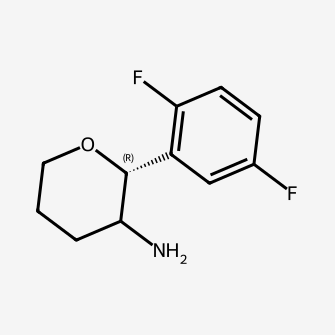 NC1CCCO[C@@H]1c1cc(F)ccc1F